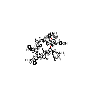 CCCC[C@@H](C(=O)N(C)[C@@H](CCCC)C(=O)N[C@@H](CC(C)C)C(=O)N[C@@H](CSCC(N)CC)C(=O)NCC(N)=O)N(C)C(=O)[C@H](Cc1cn(CC(=O)O)c2ccccc12)NC(=O)CNC(=O)[C@H](Cc1c[nH]c2ccccc12)NC(=O)C1CCCN1C(=O)[C@H](CC(C)C)NC(=O)[C@H](CNCc1cc(C)c(B(O)O)c(C)c1)NC(=O)C1CCCN1C(=O)[C@H](CC(N)=O)NC(=O)[C@H](C)N(C)C(=O)CCc1ccc(O)cc1